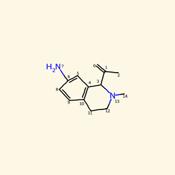 C=C(C)C1c2cc(N)ccc2CCN1C